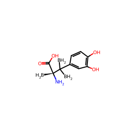 BC(B)(c1ccc(O)c(O)c1)[C@](B)(N)C(=O)O